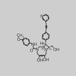 COc1ccc(NC(=O)N2C/C(O)=C(/O)CN3[C@H](CO)[C@H](c4ccc(C#Cc5cccnc5)cc4)[C@@H]3C2)cc1